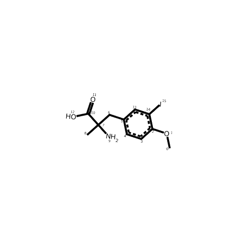 COc1ccc(CC(C)(N)C(=O)O)cc1I